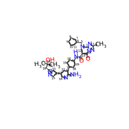 Cc1nc2n(Cc3ccccc3)cc(C(=O)Nc3ccc(-c4cc(-c5cnn(CC(C)(C)O)c5)cnc4N)cc3)c(=O)n2n1